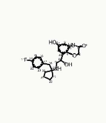 O=C1COc2c(cc(O)cc2C(O)CNC2(Cc3ccc(F)cc3)CCCC2)N1